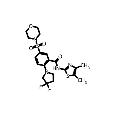 Cc1nc(NC(=O)c2cc(S(=O)(=O)N3CCOCC3)ccc2N2CCC(F)(F)C2)sc1C